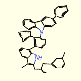 Cc1c(CC(C)CC2=CC=CC(C)C2)[nH]c2c(-c3cccc(-n4c5ccccc5c5cc(-c6ccccc6)ccc54)c3-c3ccccc3)cccc12